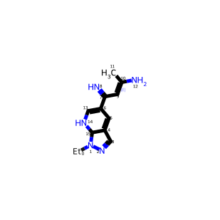 CCN1N=CC2=CC(C(=N)/C=C(\C)N)=CNC21